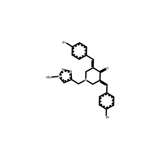 CCCCn1cc(CN2CC(=Cc3ccc(C(C)C)cc3)C(=O)C(=Cc3ccc(C(C)C)cc3)C2)nn1